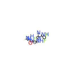 Cc1cc(C(=O)N[C@@H]2CCC[C@@H](Nc3nc(-c4c[nH]c5c(F)cc(F)cc45)c(C#N)cc3F)C2)nn1C